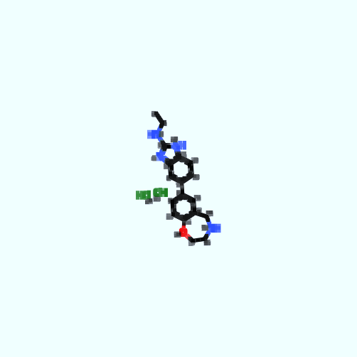 CCNc1nc2cc(-c3ccc4c(c3)CNCCO4)ccc2[nH]1.Cl.Cl